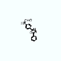 O=CNc1ccc(-c2nnc(-c3ccccc3)o2)cc1